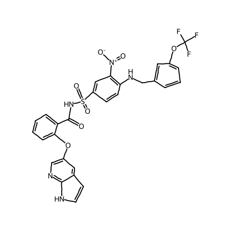 O=C(NS(=O)(=O)c1ccc(NCc2cccc(OC(F)(F)F)c2)c([N+](=O)[O-])c1)c1ccccc1Oc1cnc2[nH]ccc2c1